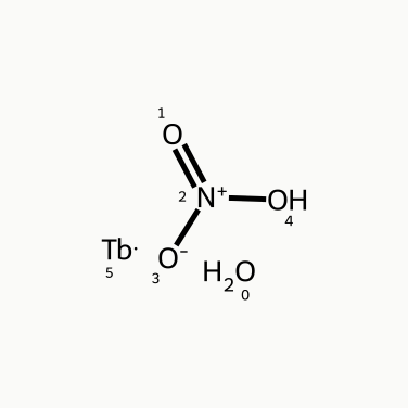 O.O=[N+]([O-])O.[Tb]